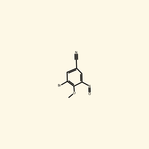 COc1c(Br)cc(C#N)cc1N=O